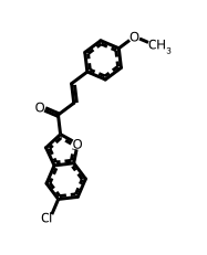 COc1ccc(/C=C/C(=O)c2cc3cc(Cl)ccc3o2)cc1